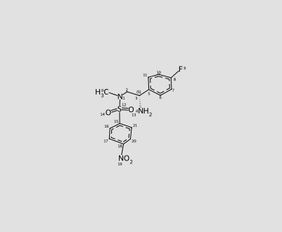 CN(C[C@@H](N)c1ccc(F)cc1)S(=O)(=O)c1ccc([N+](=O)[O-])cc1